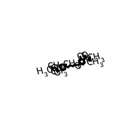 CN(C)C(=O)c1ccc(OCCCCC2(C)CCN(C(=O)OC(C)(C)C)CC2)cc1Cl